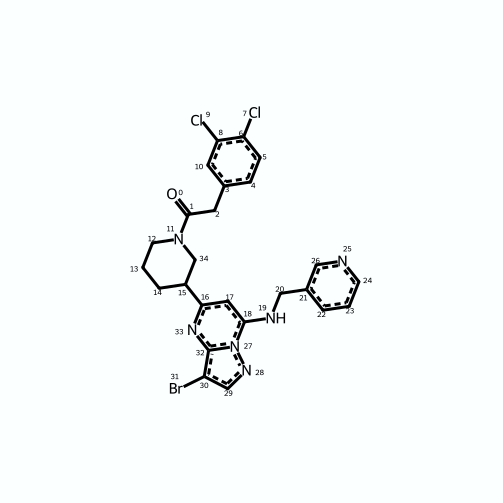 O=C(Cc1ccc(Cl)c(Cl)c1)N1CCCC(c2cc(NCc3cccnc3)n3ncc(Br)c3n2)C1